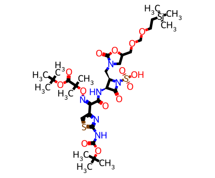 CC(C)(C)OC(=O)Nc1nc(/C(=N/OC(C)(C)C(=O)OC(C)(C)C)C(=O)N[C@@H]2C(=O)N(S(=O)(=O)O)[C@@H]2CN2CC(COCOCC[Si](C)(C)C)OC2=O)cs1